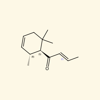 C/C=C/C(=O)[C@H]1[C@H](C)C=CCC1(C)C